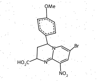 COc1ccc(C2CC(C(=O)O)N=C3C([N+](=O)[O-])=CC(Br)=CN32)cc1